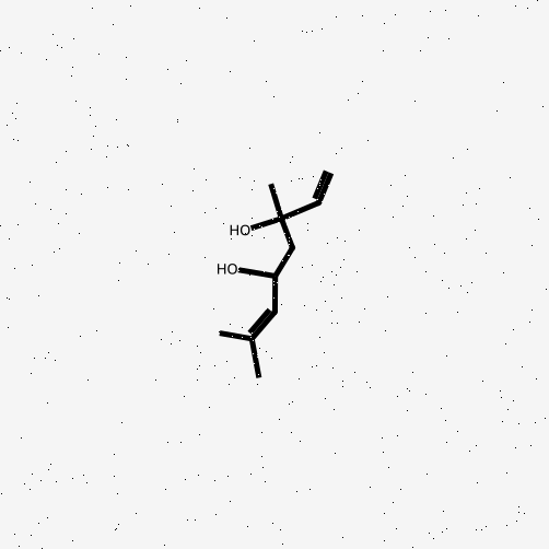 C=CC(C)(O)CC(O)C=C(C)C